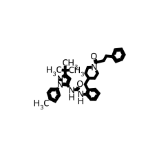 Cc1ccc(-n2nc(C(C)(C)C)cc2NC(=O)Nc2ccccc2CC2CCN(C(=O)CCc3ccccc3)CC2)cc1